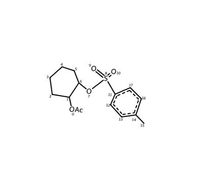 CC(=O)OC1CCCCC1OS(=O)(=O)c1ccc(C)cc1